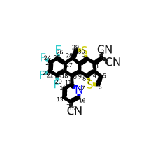 N#CC(C#N)=c1c2ccsc2c2c(-c3ccc(C#N)cn3)c3c(F)c(F)c(F)c(F)c3c3csc1c32